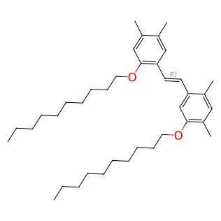 CCCCCCCCCCOc1cc(/C=C/c2cc(C)c(C)cc2OCCCCCCCCCC)c(C)cc1C